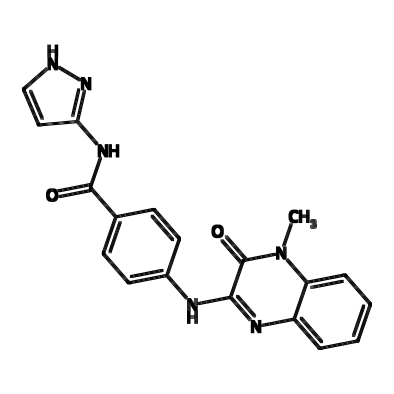 Cn1c(=O)c(Nc2ccc(C(=O)Nc3cc[nH]n3)cc2)nc2ccccc21